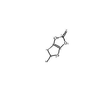 C=C1OC2=C(O1)SC(C)C2